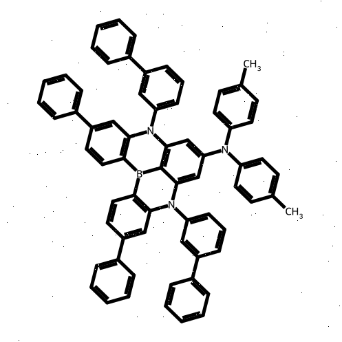 Cc1ccc(N(c2ccc(C)cc2)c2cc3c4c(c2)N(c2cccc(-c5ccccc5)c2)c2cc(-c5ccccc5)ccc2B4c2ccc(-c4ccccc4)cc2N3c2cccc(-c3ccccc3)c2)cc1